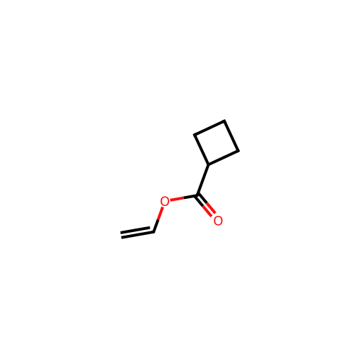 C=COC(=O)C1CCC1